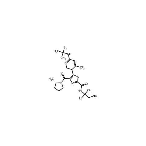 CCC(C)(C)NC1=NCC(c2sc(C(=O)NC(C)(CC)CN=O)nc2C(=O)N2CCC[C@@H]2C)C(C(F)(F)F)=C1